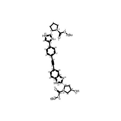 CC(C)(C)OC(=O)N1CCC[C@H]1c1nc(-c2ccc(C#Cc3ccc4[nH]c([C@@H]5C[C@@H](O)CN5C(=O)OC(C)(C)C)nc4c3)cc2)c[nH]1